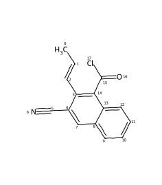 CC=Cc1c(C#N)cc2ccccc2c1C(=O)Cl